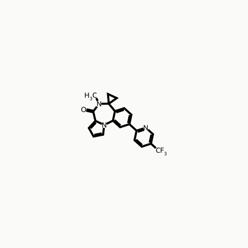 CN1C(=O)c2cccn2-c2cc(-c3ccc(C(F)(F)F)cn3)ccc2C12CC2